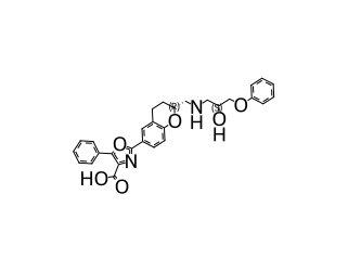 O=C(O)c1nc(-c2ccc3c(c2)CC[C@H](CNC[C@H](O)COc2ccccc2)O3)oc1-c1ccccc1